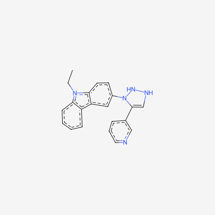 CCn1c2ccccc2c2cc(N3NNC=C3c3cccnc3)ccc21